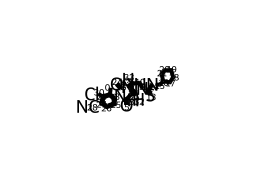 Cc1c(N2C(=O)[C@@H]3[C@@H]4C[C@@H](CN4C(=S)NCC4CCCCC4)N3C2=O)ccc(C#N)c1Cl